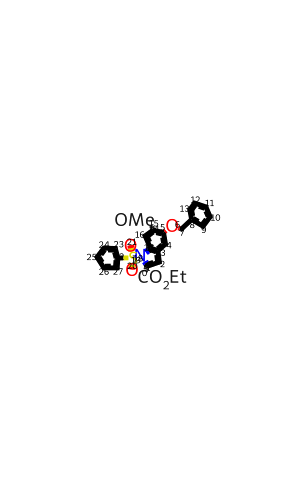 CCOC(=O)c1cc2cc(OCc3ccccc3)c(OC)cc2n1S(=O)(=O)c1ccccc1